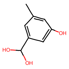 Cc1cc(O)cc(C(O)O)c1